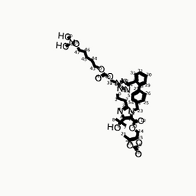 CCCc1nc(C(C)(C)O)c(C(=O)OCc2oc(=O)oc2C)n1Cc1ccc(-c2ccccc2-c2nnn(COC(=O)OCCCCCON(O)O)n2)cc1